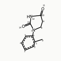 Cc1ccccc1N1CCC(=O)NC1=O